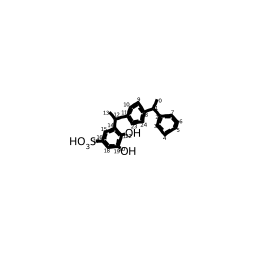 CC(c1ccccc1)c1ccc(C(C)c2cc(S(=O)(=O)O)cc(O)c2O)cc1